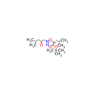 CC(C)CC(=O)CNO[C@H](CC(C)C)C(=O)OC(C)(C)C